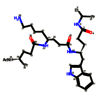 CCC(NC(=O)CC[C@H](Cc1c[nH]c2ccccc12)NC(=O)CC[C@H](CCCCN)NC(=O)CC[C@@H](NC(C)=O)C(C)C)C(C)C